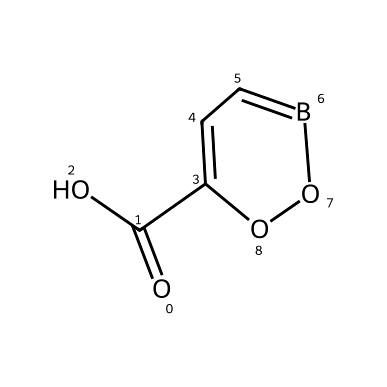 O=C(O)C1=CC=BOO1